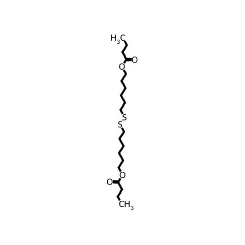 CCCC(=O)OCCCCCCSSCCCCCCOC(=O)CCC